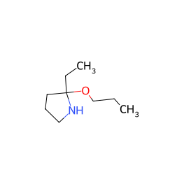 CCCOC1(CC)CCCN1